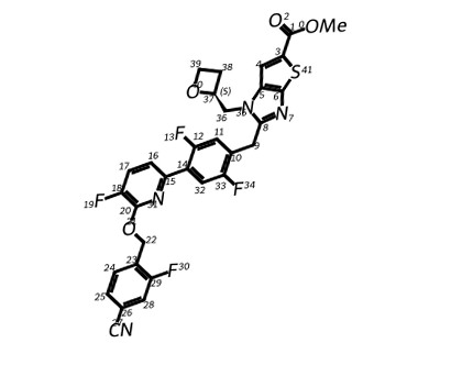 COC(=O)c1cc2c(nc(Cc3cc(F)c(-c4ccc(F)c(OCc5ccc(C#N)cc5F)n4)cc3F)n2C[C@@H]2CCO2)s1